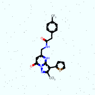 O=C(Cc1ccc(C(F)(F)F)cc1)NCc1cc(=O)n2nc(C(Cl)(Cl)Cl)c(-c3cccs3)c2[nH]1